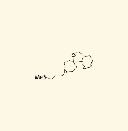 CSCCCN1CCC2(CC1)OCc1ccccc12